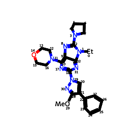 CCn1c(N2CCCC2)nc2c(N3CCOCC3)nc(-n3cc(-c4ccccc4)c(OC)n3)nc21